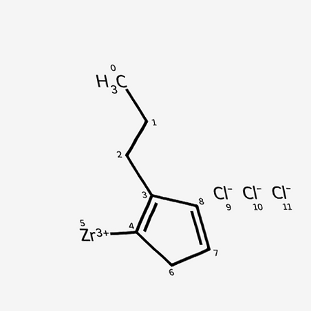 CCCC1=[C]([Zr+3])CC=C1.[Cl-].[Cl-].[Cl-]